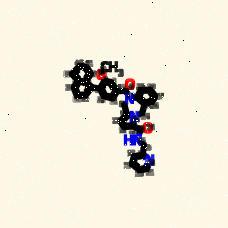 COc1cc(C(=O)N2Cc3ccc(C(=O)NCc4ccccn4)n3Cc3ccccc32)ccc1-c1cccc2ccccc12